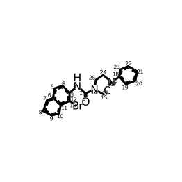 O=C(Nc1ccc2ccccc2c1Br)N1CCN(c2ccccc2)CC1